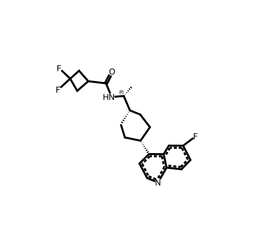 C[C@@H](NC(=O)C1CC(F)(F)C1)[C@H]1CC[C@@H](c2ccnc3ccc(F)cc32)CC1